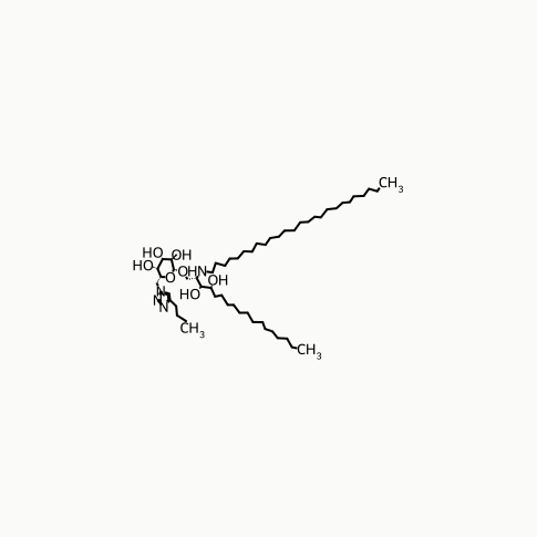 CCCCCCCCCCCCCCCCCCCCCCCCCCN[C@@H](CO[C@@H]1O[C@H](Cn2cc(CCCC)nn2)[C@H](O)[C@H](O)[C@H]1O)[C@H](O)[C@H](O)CCCCCCCCCCCCCC